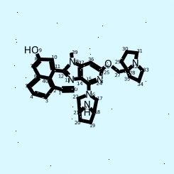 C#Cc1cccc2cc(O)cc(-c3nc4c(N5CC6CCC(C5)N6)nc(OCC56CCCN5CCC6)cc4n3C)c12